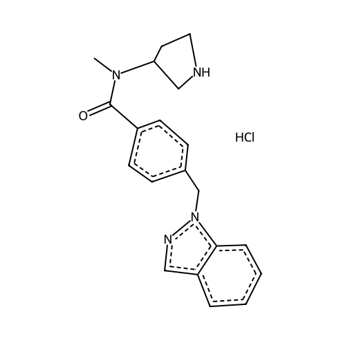 CN(C(=O)c1ccc(Cn2ncc3ccccc32)cc1)C1CCNC1.Cl